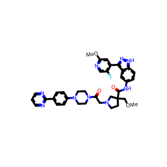 COCC1(C(=O)Nc2ccc3[nH]nc(-c4cc(OC)ncc4F)c3c2)CCN(CC(=O)N2CCN(c3ccc(-c4ncccn4)cc3)CC2)C1